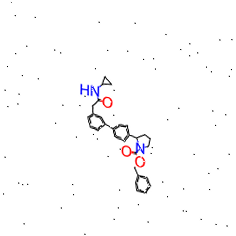 O=C(Cc1cccc(-c2ccc(C3CCCN3C(=O)OCc3ccccc3)cc2)c1)NC1CC1